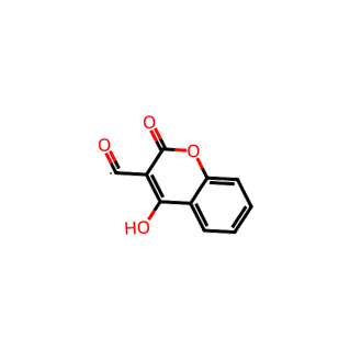 O=[C]c1c(O)c2ccccc2oc1=O